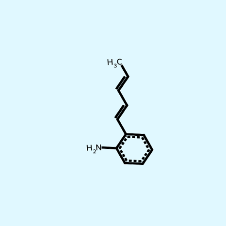 C/C=C/C=C/c1ccccc1N